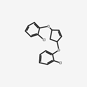 Clc1ccccc1OC1C=CC(Oc2ccccc2Cl)C1